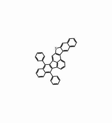 c1ccc(-c2c3c(c(-c4ccccc4)c4ccccc24)-c2cc4sc5cc6ccccc6cc5c4c4cccc-3c24)cc1